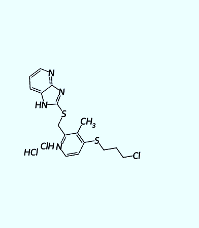 Cc1c(SCCCCl)ccnc1CSc1nc2ncccc2[nH]1.Cl.Cl